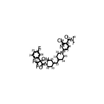 CN(C)C(=O)c1ccc(N2CCC(CC3CCN(C(=O)[C@](O)(c4cccc(F)c4)C(F)F)CC3)CC2)nc1Cl